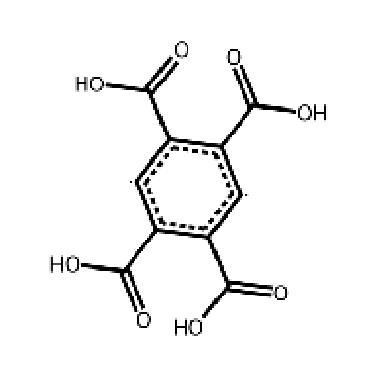 O=C(O)c1[c]c(C(=O)O)c(C(=O)O)[c]c1C(=O)O